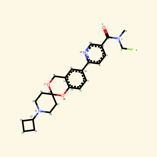 CN(CF)C(=O)c1ccc(-c2ccc3c(c2)COC2(CCN(C4CCC4)CC2)O3)nc1